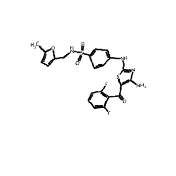 Cc1ccc(CNS(=O)(=O)c2ccc(Nc3nc(N)c(C(=O)c4c(F)cccc4F)s3)cc2)o1